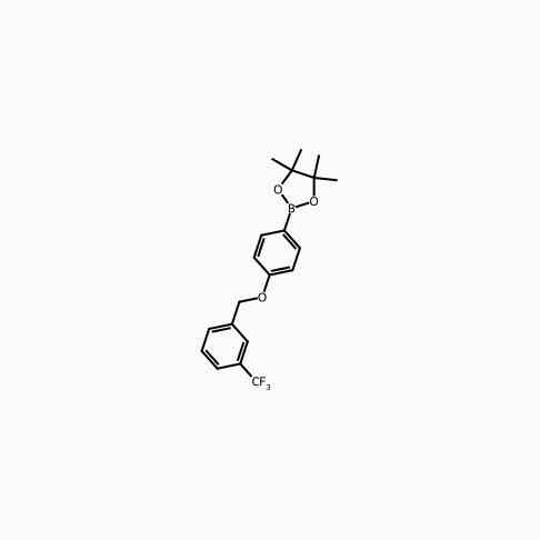 CC1(C)OB(c2ccc(OCc3cccc(C(F)(F)F)c3)cc2)OC1(C)C